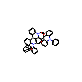 c1ccc(N2c3ccccc3C3(c4ccccc42)c2ccccc2N2c4ccccc4B4c5cccc6c5N(c5ccccc5C65C6CC7CC(C6)CC5C7)c5ccc3c2c54)cc1